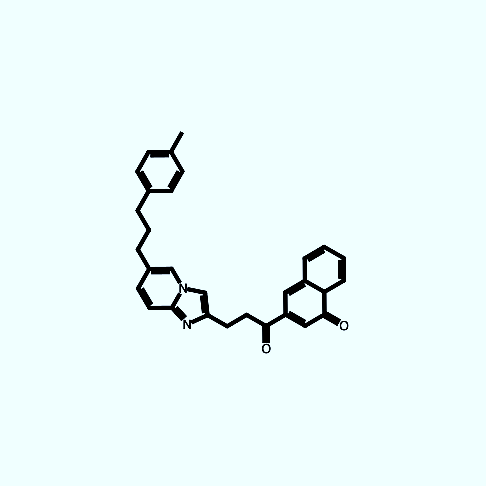 Cc1ccc(CCCc2ccc3nc(CCC(=O)C4=CC(=O)C5C=CC=CC5=C4)cn3c2)cc1